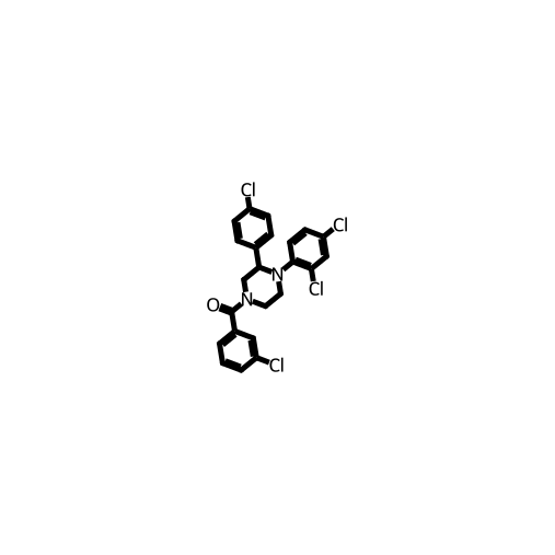 O=C(c1cccc(Cl)c1)N1CCN(c2ccc(Cl)cc2Cl)C(c2ccc(Cl)cc2)C1